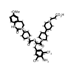 COc1ccc2c(c1)CCN(C1CCN(C(=O)O[C@H](Cc3cc(Cl)c(N)c(C(F)(F)F)c3)C(=O)N3CCC(C4CCN(CCC(=O)O)CC4)CC3)CC1)C(=O)N2